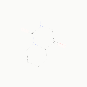 O=C1CNC(=O)N2CCCCC12